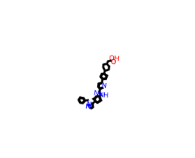 O=C(O)CC1CCC(c2ccc(-c3ccc(-c4nc5cc(-c6ccnn6Cc6ccccc6)ccc5[nH]4)cn3)cc2)CC1